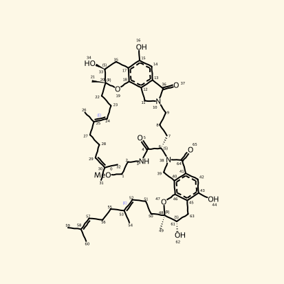 COCCNC(=O)[C@H](CCCN1Cc2c(cc(O)c3c2O[C@](C)(CC/C=C(\C)CCC=C(C)C)[C@@H](O)C3)C1=O)N1Cc2c(cc(O)c3c2O[C@](C)(CC/C=C(\C)CCC=C(C)C)[C@@H](O)C3)C1=O